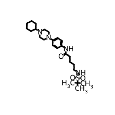 CC(C)(C)S(=O)(=O)NCCCCC(=O)Nc1ccc(N2CCN(C3CCCCC3)CC2)cc1